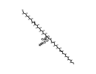 CCCCCCCCC=CCCCCCCCCOCCCCCCCCC=CCCCCCCCC.O=P([O-])([O-])[O-].[K+].[K+].[K+]